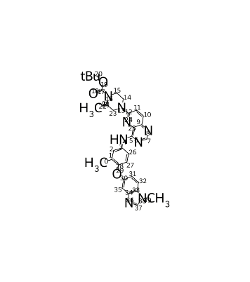 Cc1cc(Nc2ncnc3ccc(N4CCN(C(=O)OC(C)(C)C)[C@H](C)C4)nc23)ccc1Oc1ccc2c(c1)ncn2C